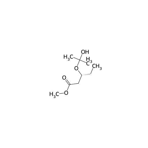 CC[C@H](CC(=O)OC)OC(C)(C)O